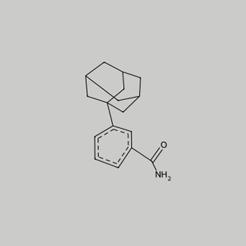 NC(=O)c1cccc(C23CC4CC(CC(C4)C2)C3)c1